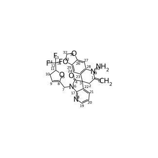 C=C1CC2(C(=O)N(CC3=CCC(C(F)(F)F)O3)c3ncccc32)c2cc3c(cc2N1N)OCO3